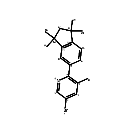 Cc1cc(Br)cnc1-c1ccc2c(c1)C(C)(C)CC2(C)C